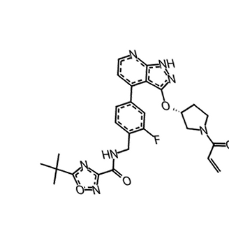 C=CC(=O)N1CC[C@@H](Oc2n[nH]c3nccc(-c4ccc(CNC(=O)c5noc(C(C)(C)C)n5)c(F)c4)c23)C1